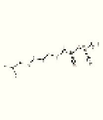 CC(C)CCCCCCOC(=O)CC(=O)O